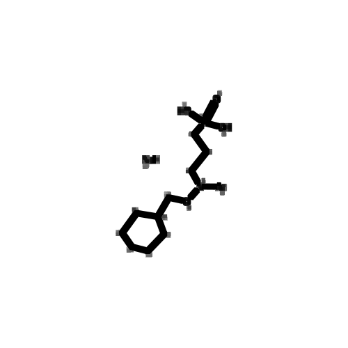 CC(=O)N(CCCP(=O)(O)O)OCC1CCCCC1.[NaH]